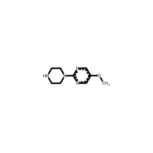 COc1cnc(N2CCNCC2)nc1